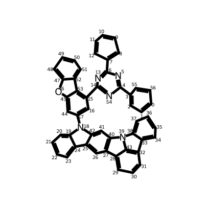 c1ccc(-c2nc(-c3ccccc3)nc(-c3cc(-n4c5ccccc5c5cc6c7cccc8c9ccccc9n(c6cc54)c87)cc4oc5ccccc5c34)n2)cc1